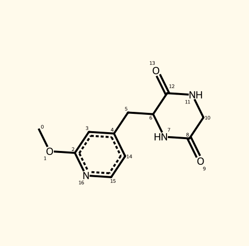 COc1cc(CC2NC(=O)CNC2=O)ccn1